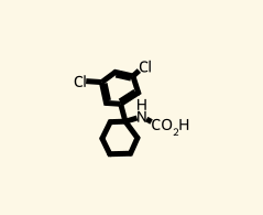 O=C(O)NC1(c2cc(Cl)cc(Cl)c2)CCCCC1